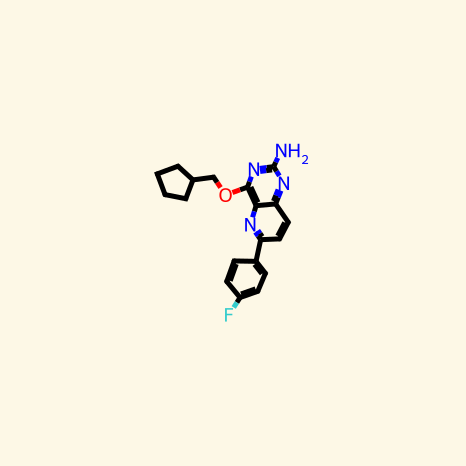 Nc1nc(OCC2CCCC2)c2nc(-c3ccc(F)cc3)ccc2n1